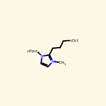 CCCCCCCCCCCc1n(CCCCC)cc[n+]1C